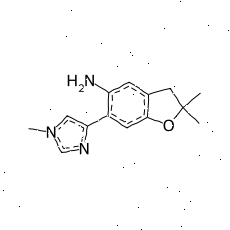 Cn1cnc(-c2cc3c(cc2N)CC(C)(C)O3)c1